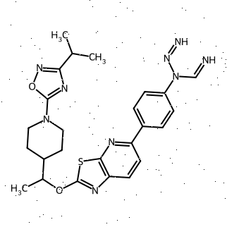 CC(C)c1noc(N2CCC(C(C)Oc3nc4ccc(-c5ccc(N(C=N)N=N)cc5)nc4s3)CC2)n1